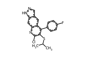 CC(C)Sc1c(Cl)nc2cc3[nH]ncc3cc2c1-c1ccc(F)cc1